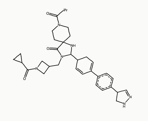 CC(C)C(=O)N1CCC2(CC1)NC(C1C=CC(c3ccc(C4C=NNC4)cc3)=CC1)N(CC1CN(C(=O)C3CC3)C1)C2=O